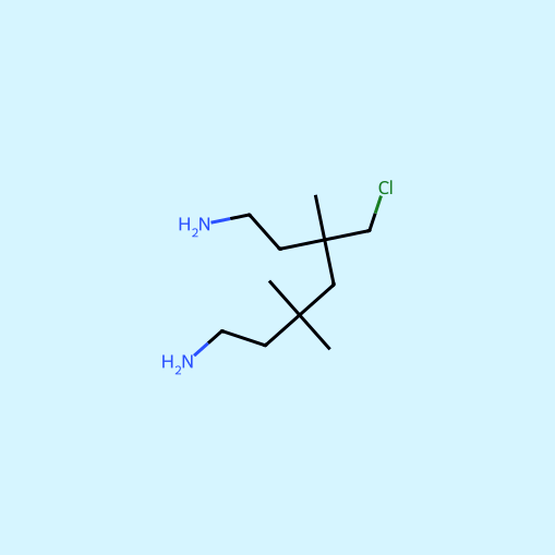 CC(C)(CCN)CC(C)(CCl)CCN